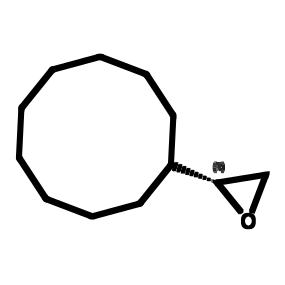 C1CCCCC([C@@H]2CO2)CCCC1